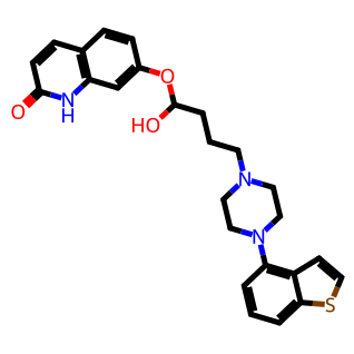 O=c1ccc2ccc(OC(O)CCCN3CCN(c4cccc5sccc45)CC3)cc2[nH]1